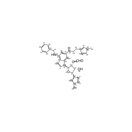 CC(C)n1nnc([C@H]2O[C@@H](n3cnc4c(NCc5ccccc5)nc(NCCc5cn(C)cn5)nc43)[C@H](OC=O)[C@@H]2O)n1